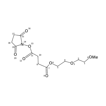 COCCOCCOC(=O)CCC(=O)ON1C(=O)CCC1=O